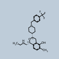 CCNC[C@@H]1O[C@H](C2CCN(Cc3ccc(C(F)(F)F)cc3)CC2)Cc2c1ccc(C)c2O